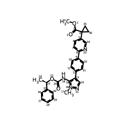 COC(=O)C1(c2ccc(-c3ccc(-c4cnn(C)c4NC(=O)O[C@H](C)c4ccccc4)cc3)nc2)CC1